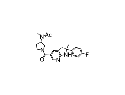 CC(=O)N(C)C1CCN(C(=O)c2cnc3c(c2)C[C@](C)(c2ccc(F)cc2)N3)C1